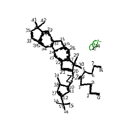 CCCC[C](CCCC)=[Zr+2]([C]1=CC(C(C)(C)C)=CC1C)[C]1=Cc2cc3c(cc2C1(C)C)Cc1cc2c(cc1-3)C=CC2(C)C.[Cl-].[Cl-]